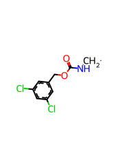 [CH2]NC(=O)OCc1cc(Cl)cc(Cl)c1